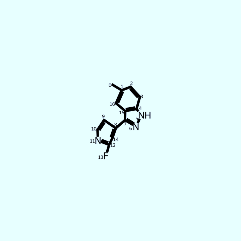 Cc1ccc2[nH]nc(-c3ccnc(F)c3)c2c1